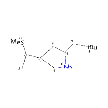 CSC(C)C1CNC(CC(C)(C)C)C1